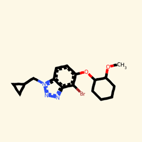 COC1CCCCC1Oc1ccc2c(nnn2CC2CC2)c1Br